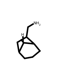 C[C@H]1C2CCCC1C(CN)C2